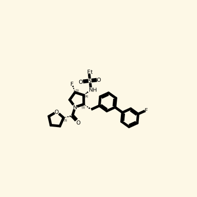 CCS(=O)(=O)N[C@H]1[C@@H](F)CN(C(=O)[C@@H]2CCCO2)[C@H]1Cc1cccc(-c2cccc(F)c2)c1